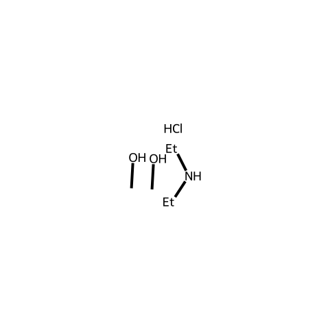 CCNCC.CO.CO.Cl